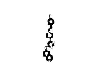 Fc1ccc(CCN2CCN(c3cc(Oc4ccc5cnccc5c4)ncn3)CC2)cc1